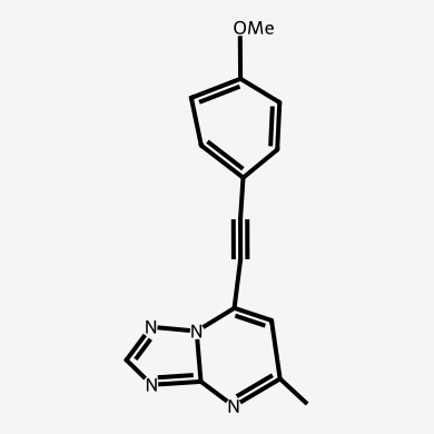 COc1ccc(C#Cc2cc(C)nc3ncnn23)cc1